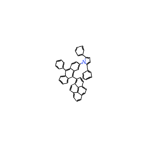 c1ccc(-c2c3ccccc3c(-c3ccc4ccc5cccc6ccc3c4c56)c3cc(-n4c(-c5ccccc5)ccc4-c4ccccc4)ccc23)cc1